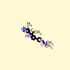 Cc1cc(-c2[nH]c3ccc(C4CCN(CC(=O)N(C)C)CC4)cc3c2C(C)C)cn2cnnc12